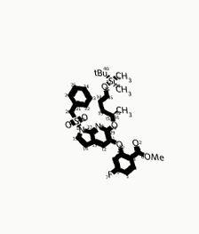 COC(=O)c1ccc(F)cc1Oc1cc2ccn(S(=O)(=O)Cc3ccccc3)c2nc1O[C@@H](C)CCCO[Si](C)(C)C(C)(C)C